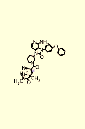 CN(C)C(=O)C(C)(C)/C=C(\C#N)C(=O)N1CCC[C@@H](n2c(=O)n(-c3ccc(Oc4ccccc4)cc3)c3c(N)nccc32)C1